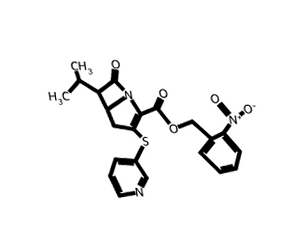 CC(C)C1C(=O)N2C(C(=O)OCc3ccccc3[N+](=O)[O-])=C(Sc3cccnc3)CC12